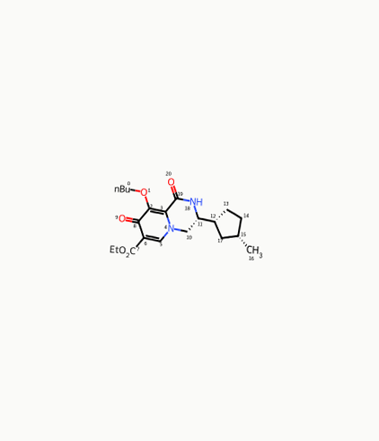 CCCCOc1c2n(cc(C(=O)OCC)c1=O)C[C@@H]([C@@H]1CC[C@H](C)C1)NC2=O